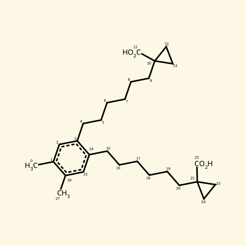 Cc1cc(CCCCCCC2(C(=O)O)CC2)c(CCCCCCC2(C(=O)O)CC2)cc1C